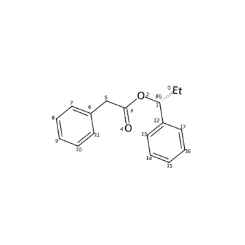 CC[C@@H](OC(=O)Cc1ccccc1)c1ccccc1